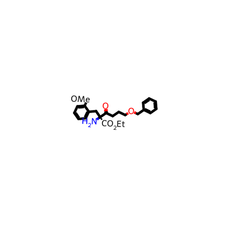 CCOC(=O)[C@@](N)(Cc1ccccc1OC)C(=O)CCCOCc1ccccc1